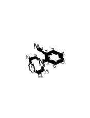 N#Cc1cc[c]cc1N1CCOCC1